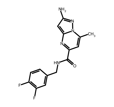 Cc1cc(C(=O)NCc2ccc(F)c(F)c2)nc2cc(N)nn12